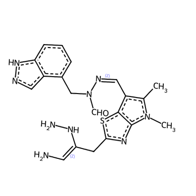 Cc1c(/C=N\N(C=O)Cc2cccc3[nH]ncc23)c2sc(C/C(=C/N)NN)nc2n1C